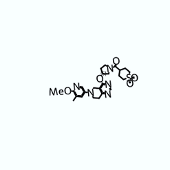 COc1ncc(N2CCc3ncnc(O[C@H]4CCN(C(=O)C5CCS(=O)(=O)CC5)C4)c3C2)cc1C